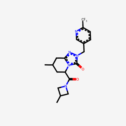 CC1Cc2nn(Cc3ccc(C(F)(F)F)nc3)c(=O)n2C(C(=O)N2CC(C)C2)C1